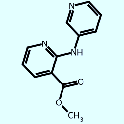 COC(=O)c1cccnc1Nc1cccnc1